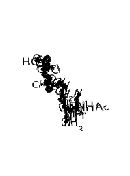 CC(=O)N[C@@H](CCCCN)C(=O)N[C@H](C(=O)N[C@@H](CCCNC(N)=O)C(=O)Nc1ccc(COC(=O)N(C)CCN(C)C(=O)Oc2cc3c(c4ccccc24)[C@H](CCl)CN3C(=O)c2ccc(C(=O)N3C[C@@H](CCl)c4c3cc(OP(=O)(O)O)c3ccccc43)s2)cc1)C(C)C